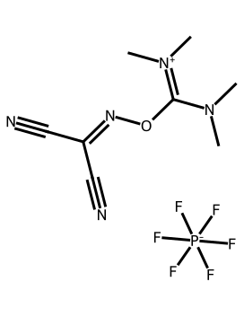 CN(C)C(ON=C(C#N)C#N)=[N+](C)C.F[P-](F)(F)(F)(F)F